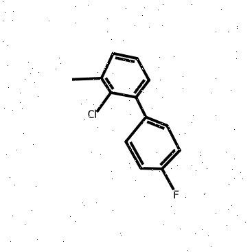 Cc1cccc(-c2ccc(F)cc2)c1Cl